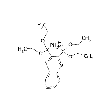 CCOC(P)(OCC)c1nc2ccccc2nc1C(P)(OCC)OCC